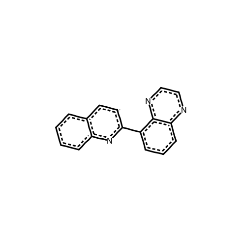 [c]1cc2ccccc2nc1-c1cccc2nccnc12